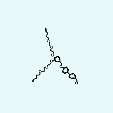 C=CCCCOCCOCCOc1ccc(COc2ccc(-c3ccc(C=O)cc3)cc2)cc1OCCOCCOCCCC=C